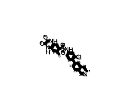 Cc1cc2[nH]c(=O)c(=O)[nH]c2cc1S(=O)(=O)Nc1ccc(-c2ccc3cnccc3c2)c(Cl)c1